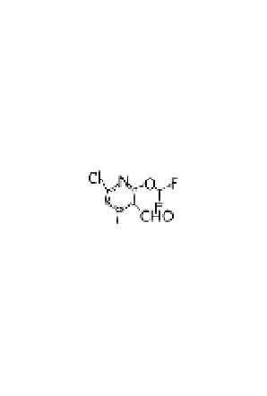 Cc1cc(Cl)nc(OC(F)F)c1C=O